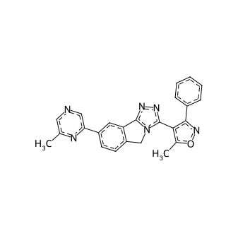 Cc1cncc(-c2ccc3c(c2)-c2nnc(-c4c(-c5ccccc5)noc4C)n2C3)n1